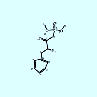 COP(=O)(CC(=O)C(F)Cc1ccccc1)OC